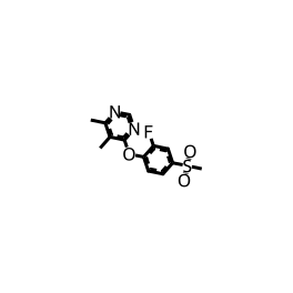 Cc1ncnc(Oc2ccc(S(C)(=O)=O)cc2F)c1C